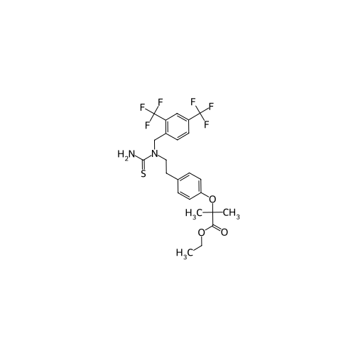 CCOC(=O)C(C)(C)Oc1ccc(CCN(Cc2ccc(C(F)(F)F)cc2C(F)(F)F)C(N)=S)cc1